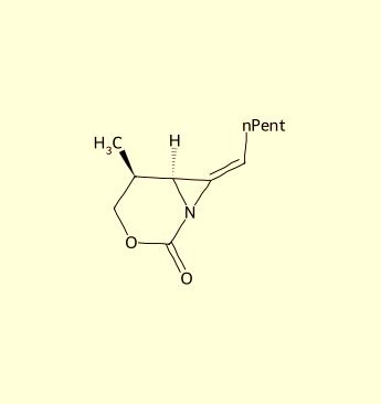 CCCCC/C=C1\[C@@H]2[C@H](C)COC(=O)N12